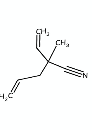 C=CCC(C)(C#N)C=C